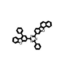 c1ccc(-c2nc(-c3ccc4c(c3)oc3c5ccccc5ccc43)nc(-c3cc(-c4ccccc4)c4c(c3)oc3ccccc34)n2)cc1